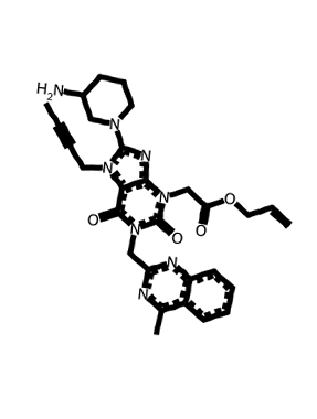 C=CCOC(=O)Cn1c(=O)n(Cc2nc(C)c3ccccc3n2)c(=O)c2c1nc(N1CCCC(N)C1)n2CC#CC